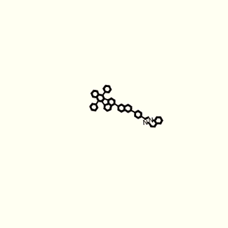 c1ccc(-c2c3c(c(-c4ccccc4)c4ccccc24)-c2ccc(-c4ccc5cc(-c6ccc(-c7cn8c(ccc9ccccc98)n7)cc6)ccc5c4)c4cccc-3c24)cc1